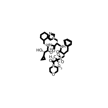 CC(C)(C(=O)N1CCOCC1)S(=O)(=O)C[C@@H](Cc1ccccc1)C(=O)N[C@@H](Cn1ccnc1)C(=O)N[C@@H](CC1CCCCC1)[C@@H](O)[C@@H](O)C1CC1